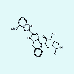 COc1cccc2[nH]c(C(=O)NC(Cc3ccccc3)C(=O)NC(C[C@@H]3CCNC3=O)C(=O)CO)cc12